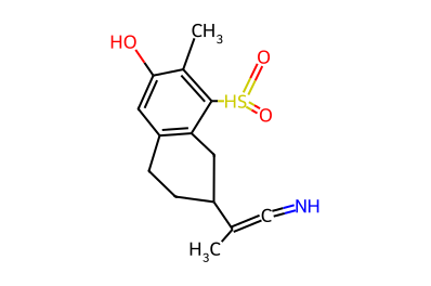 CC(=C=N)C1CCc2cc(O)c(C)c([SH](=O)=O)c2C1